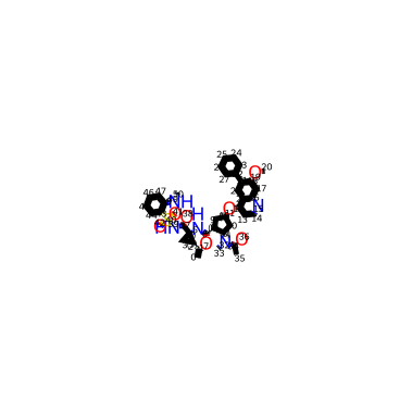 C=C[C@@H]1C[C@]1(NC(=O)[C@@H]1C[C@@H](Oc2ccnc3cc(OC)c(-c4ccccc4)cc23)C[C@@H]1N(C)C(C)=O)C(=O)NS(=O)(=O)c1ccccc1NC